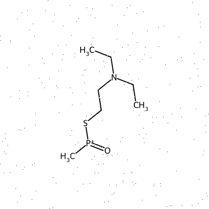 CCN(CC)CCS[P+](C)=O